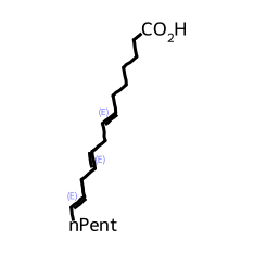 CCCCC/C=C/C/C=C/C/C=C/CCCCCC(=O)O